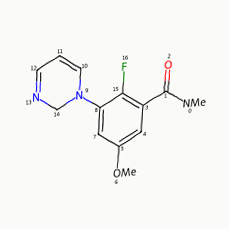 CNC(=O)c1cc(OC)cc(N2C=CC=NC2)c1F